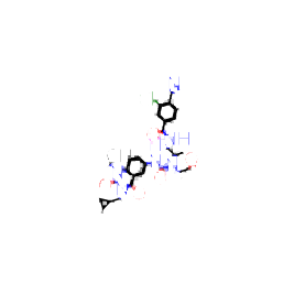 CCn1c(=O)n(CC2CC2)c(=O)c2cc(NC(=O)N3CCOCC3CNC(=O)c3ccc(C#N)c(Cl)c3)ccc21